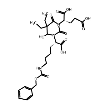 CCC1(CC)C(=O)N([C@@H](CCC(=O)O)C(=O)O)C(=S)N([C@@H](CCCCNC(=O)OCc2ccccc2)C(=O)O)C1O